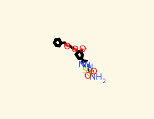 COc1cc(-c2cn3nc(S(N)(=O)=O)sc3n2)ccc1OCCOCc1ccccc1